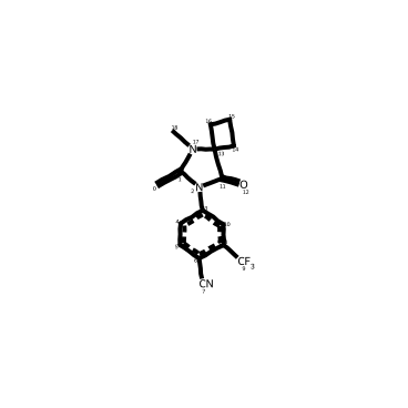 C=C1N(c2ccc(C#N)c(C(F)(F)F)c2)C(=O)C2(CCC2)N1C